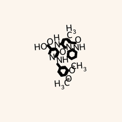 COc1ccc(CNc2cc(Nc3cc(C)c4n(c3=O)C3(CCCCC3)NC4=O)c(C(=O)O)cn2)cc1OC